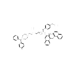 CC(C)Cc1ccc(C(C)C(=O)O)cc1.O=C(O)c1cc2ccccc2c(Cc2c(O)c(C(=O)O)cc3ccccc23)c1O.OCCOCCN1CCN(C(c2ccccc2)c2ccc(Cl)cc2)CC1